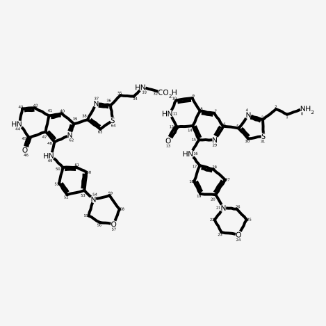 NCCc1nc(-c2cc3cc[nH]c(=O)c3c(Nc3ccc(N4CCOCC4)cc3)n2)cs1.O=C(O)NCCc1nc(-c2cc3cc[nH]c(=O)c3c(Nc3ccc(N4CCOCC4)cc3)n2)cs1